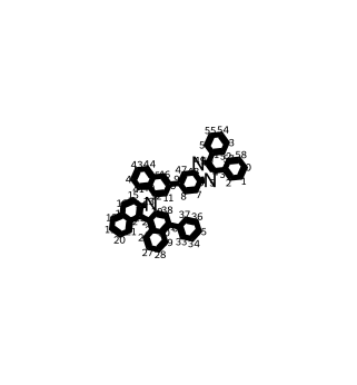 c1ccc(-c2nc3ccc(-c4cc(-n5c6ccc7ccccc7c6c6c7ccccc7c(-c7ccccc7)cc65)c5ccccc5c4)cc3nc2-c2ccccc2)cc1